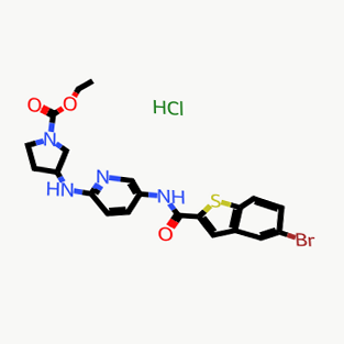 CCOC(=O)N1CCC(Nc2ccc(NC(=O)c3cc4cc(Br)ccc4s3)cn2)C1.Cl